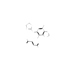 Cc1cc(NC2NCCN2)c(C)c2c1OCO2.O=C(O)/C=C/C(=O)O